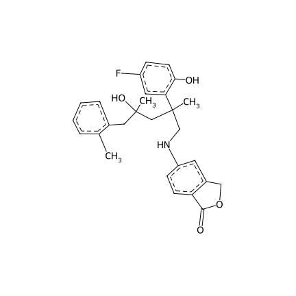 Cc1ccccc1CC(C)(O)CC(C)(CNc1ccc2c(c1)COC2=O)c1cc(F)ccc1O